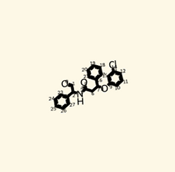 O=CC(NC(=O)CC(Oc1cccc(Cl)c1)c1ccccc1)c1ccccc1